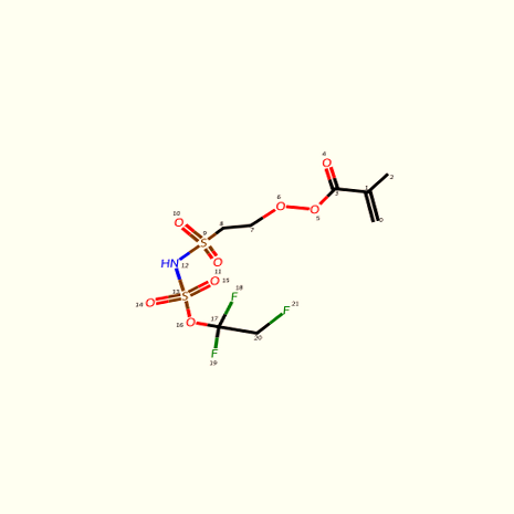 C=C(C)C(=O)OOCCS(=O)(=O)NS(=O)(=O)OC(F)(F)CF